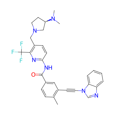 Cc1ccc(C(=O)Nc2ccc(CN3CC[C@@H](N(C)C)C3)c(C(F)(F)F)n2)cc1C#Cn1cnc2ccccc21